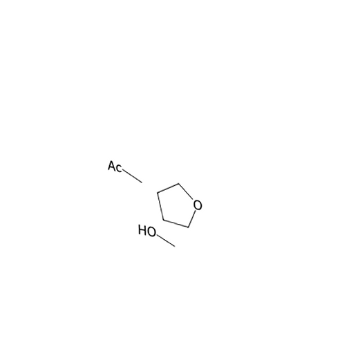 C1CCOC1.CC(C)=O.CO